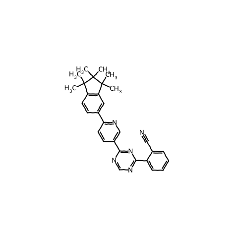 CC1(C)c2ccc(-c3ccc(-c4ncnc(-c5ccccc5C#N)n4)cn3)cc2C(C)(C)C1(C)C